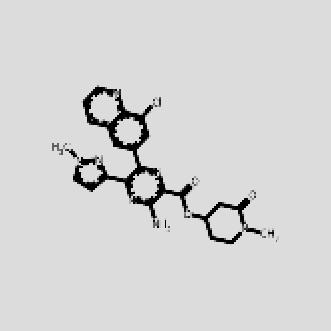 CN1CCC(OC(=O)c2nc(-c3cc(Cl)c4ncccc4c3)c(-c3ccn(C)n3)nc2N)CC1=O